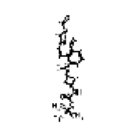 CN(/C=C\c1c(C=O)cccc1[S+]([O-])N1CC(NC(=O)OC(C)(C)C)C1)COC=O